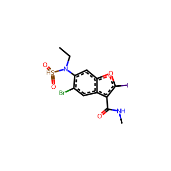 CCN(c1cc2oc(I)c(C(=O)NC)c2cc1Br)[SH](=O)=O